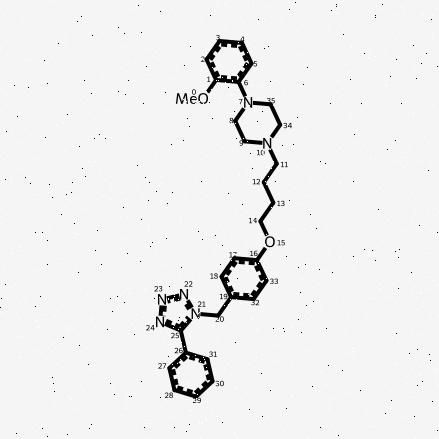 COc1ccccc1N1CCN(CCCCOc2ccc(Cn3nnnc3-c3ccccc3)cc2)CC1